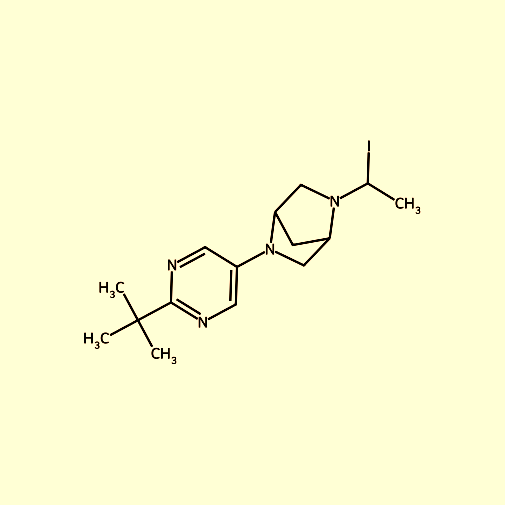 CC(I)N1CC2CC1CN2c1cnc(C(C)(C)C)nc1